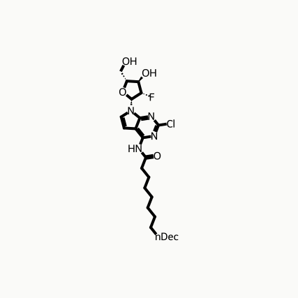 CCCCCCCCCCCCCCCCCC(=O)Nc1nc(Cl)nc2c1ccn2[C@@H]1O[C@H](CO)[C@@H](O)[C@@H]1F